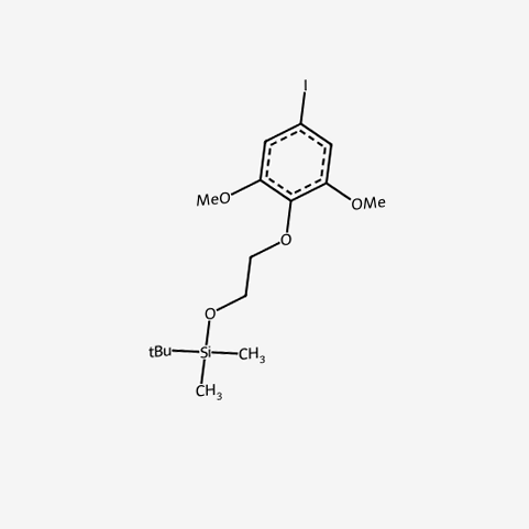 COc1cc(I)cc(OC)c1OCCO[Si](C)(C)C(C)(C)C